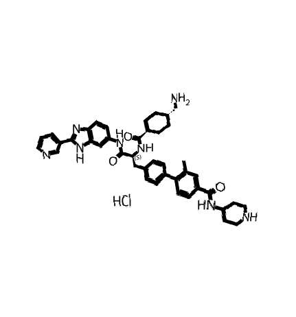 Cc1cc(C(=O)NC2CCNCC2)ccc1-c1ccc(C[C@H](NC(=O)[C@H]2CC[C@H](CN)CC2)C(=O)Nc2ccc3nc(-c4cccnc4)[nH]c3c2)cc1.Cl